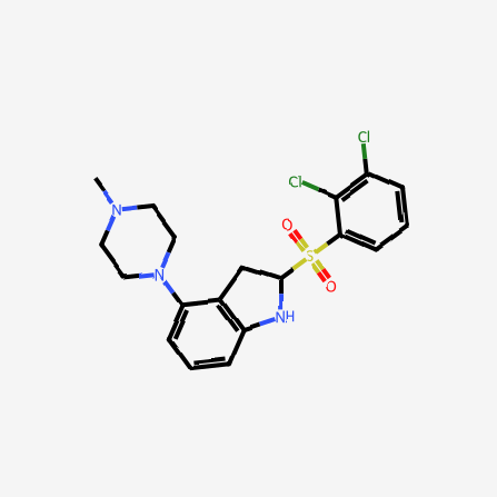 CN1CCN(c2cccc3c2CC(S(=O)(=O)c2cccc(Cl)c2Cl)N3)CC1